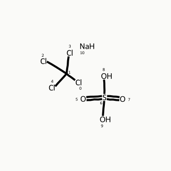 ClC(Cl)(Cl)Cl.O=S(=O)(O)O.[NaH]